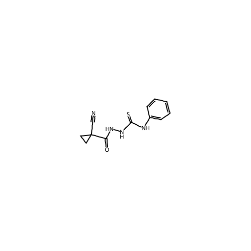 N#CC1(C(=O)NNC(=S)Nc2ccccc2)CC1